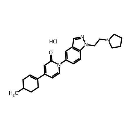 CC1CC=C(c2ccn(-c3ccc4c(cnn4CCN4CCCC4)c3)c(=O)c2)CC1.Cl